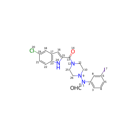 O=CN(c1cccc(I)c1)N1CCN(C(=O)c2cc3cc(Cl)ccc3[nH]2)CC1